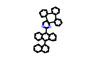 c1ccc2c(c1)-c1ccccc1-c1cnc(-c3c4ccccc4c(-c4cccc5ccccc45)c4ccccc34)nc1-c1ccccc1-2